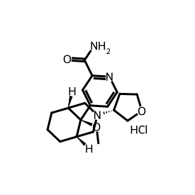 CO[C@]1(c2ccnc(C(N)=O)c2)[C@@H]2CCC[C@H]1CN([C@@H]1CCOC1)C2.Cl